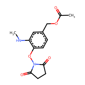 CNc1cc(COC(C)=O)ccc1ON1C(=O)CCC1=O